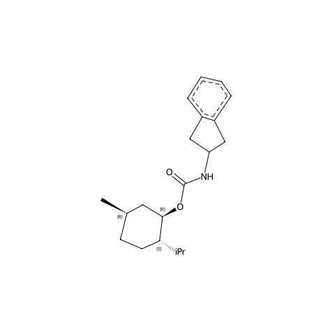 CC(C)[C@@H]1CC[C@@H](C)C[C@H]1OC(=O)NC1Cc2ccccc2C1